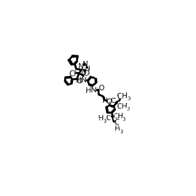 CCC(C)(C)c1ccc(OCCCC(=O)Nc2cccc(NC(=O)C(Cl)(C(=O)c3ccccc3)C3(Cc4ccccc4)N=NN=N3)c2)c(C(C)(C)CC)c1